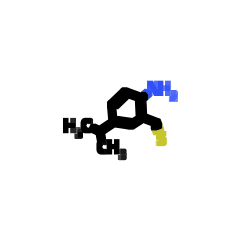 CC(C)c1ccc(N)c(C=S)c1